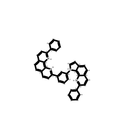 c1ccc(-c2ccc3ccc4ccc(-c5cccc(-n6ccc7ccc8ccc(-c9ccccc9)nc8c76)c5)nc4c3n2)cc1